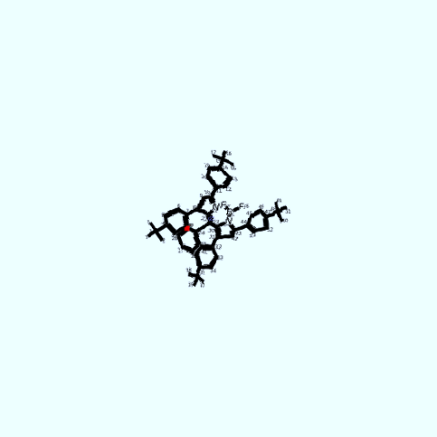 CC(C)(C)c1ccc(C2=CC(c3ccc(C(C)(C)C)cc3)=N/C2=C(/c2ccccc2)c2c(-c3ccc(C(C)(C)C)cc3)cc(-c3ccc(C(C)(C)C)cc3)n2B(F)F)cc1